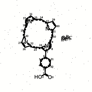 O=C(O)c1ccc(-c2cc3cc4nc(cc5ccc(cc6nc(cc2[nH]3)C=C6)[nH]5)C=C4)cc1.[Br-].[Br-].[Fe+2]